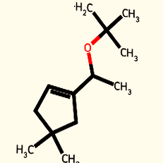 [CH2]C(C)(C)OC(C)C1=CCC(C)(C)C1